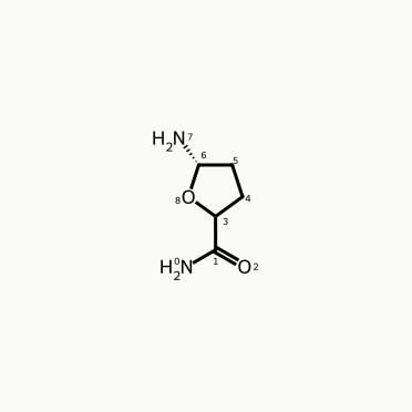 NC(=O)C1CC[C@@H](N)O1